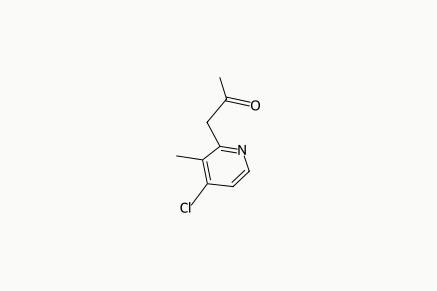 CC(=O)Cc1nccc(Cl)c1C